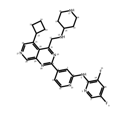 Fc1cnc(Nc2cc(-c3nc(CNC4CCNCC4)c4c(C5CCC5)cncc4n3)ccn2)c(F)c1